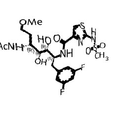 COCC[C@@H](NC(C)=O)[C@@H](O)[C@H](O)[C@H](Cc1cc(F)cc(F)c1)NC(=O)c1csc(NS(C)(=O)=O)n1